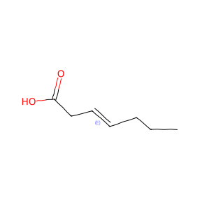 CCC/C=C/CC(=O)O